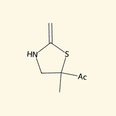 C=C1NCC(C)(C(C)=O)S1